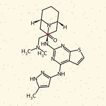 Cc1cc(Nc2nc(N[C@@H]3C[C@H]4CCC[C@@H](C3)N4C(=O)CN(C)C)nc3sccc23)n[nH]1